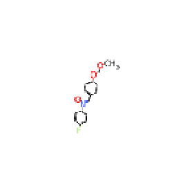 COCOc1ccc(C=[N+]([O-])c2ccc(F)cc2)cc1